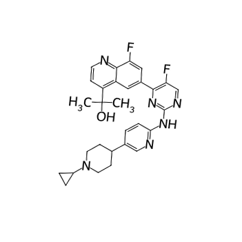 CC(C)(O)c1ccnc2c(F)cc(-c3nc(Nc4ccc(C5CCN(C6CC6)CC5)cn4)ncc3F)cc12